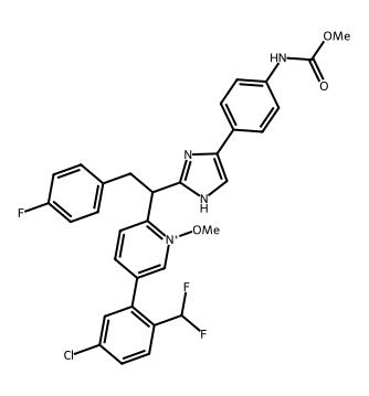 COC(=O)Nc1ccc(-c2c[nH]c(C(Cc3ccc(F)cc3)c3ccc(-c4cc(Cl)ccc4C(F)F)c[n+]3OC)n2)cc1